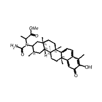 COC(=O)C(C)N(C(N)=O)C1C[C@]2(C)CC[C@]3(C)C4=CC=C5C(=CC(=O)C(O)=C5C)[C@]4(C)CC[C@@]3(C)[C@@H]2C[C@H]1C